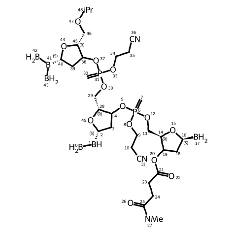 BB[C@H]1CC(OP(=C)(OCCC#N)OC[C@H]2O[C@@H](B)CC2OC(=O)CCC(=O)NC)[C@@H](COP(=C)(OCCC#N)OC2C[C@H](B(B)B)O[C@@H]2COC(C)C)O1